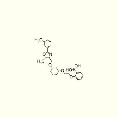 Cc1cccc(-c2nc(COC3CCCC(OCCOc4ccccc4B(O)O)C3)c(C)o2)c1